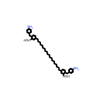 CCCCCCCCc1cc(CCCCCCCCCCCCCCCCCCCCc2ccc(Cc3ccc(N)cc3)c(CCCCCCCC)c2)ccc1Cc1ccc(N)cc1